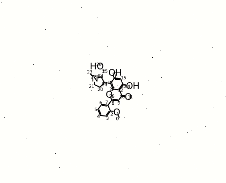 COc1ccccc1-c1cc(=O)c2c(O)cc(O)c([C@H]3CCN(C)[C@@H]3CO)c2o1